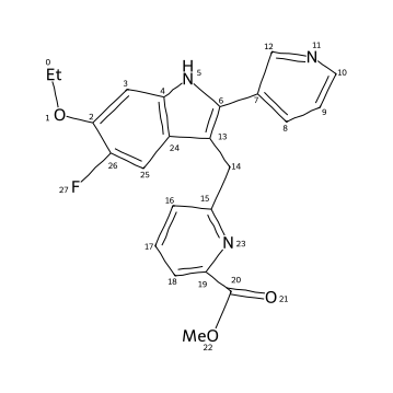 CCOc1cc2[nH]c(-c3cccnc3)c(Cc3cccc(C(=O)OC)n3)c2cc1F